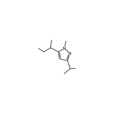 CCC(C)c1cc(C(C)C)nn1C